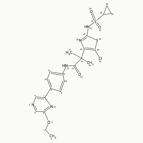 CCOc1cncc(-c2ccc(NC(=O)C(C)(C)c3nc(NS(=O)(=O)C4CC4)sc3Cl)cc2)n1